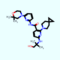 CC(C)(CO)Nc1ccc(C(=O)Nc2cccc(N3CCOC(C)(C)C3)n2)c(N2CCC3(CC2)CC3)n1